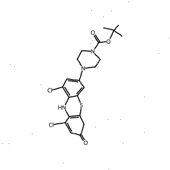 CC(C)(C)OC(=O)N1CCN(c2cc(Cl)c3c(c2)SC2=C(N3)C(Cl)=CC(=O)C2)CC1